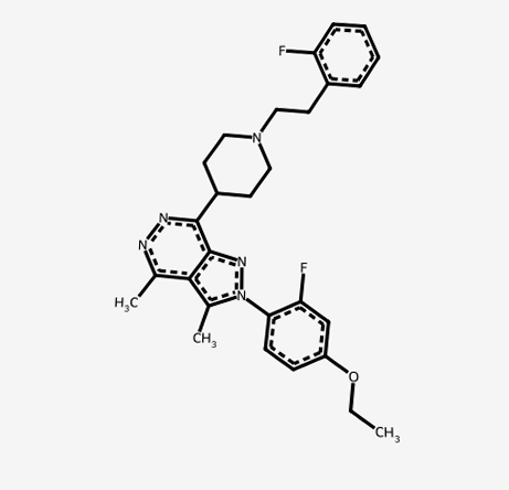 CCOc1ccc(-n2nc3c(C4CCN(CCc5ccccc5F)CC4)nnc(C)c3c2C)c(F)c1